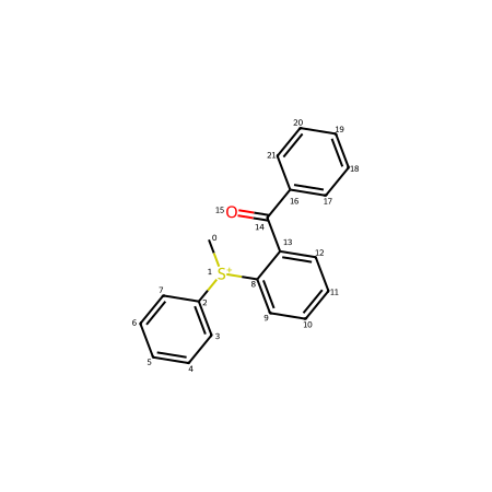 C[S+](c1ccccc1)c1ccccc1C(=O)c1ccccc1